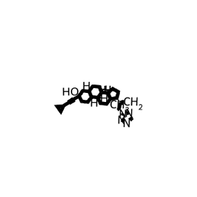 C=C(Cn1ncnn1)[C@H]1CC[C@H]2[C@@H]3CC[C@H]4C[C@](O)(C#CC5CC5)CC[C@@H]4[C@H]3CC[C@]12C